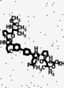 COC(=O)N[C@H](C(=O)C1CCCN1c1nc2c([nH]1)CCCc1cc(-c3ccc(-c4[nH]c([C@@H]5CCCN5C(=O)[C@@H](NC(=O)OC)C(C)C)nc4CC(F)(F)F)cc3)ccc1-2)C(C)C